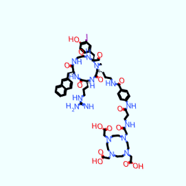 CN1[C@H](CCCNC(=O)c2ccc(NC(=O)CCNC(=O)CN3CCN(CC(=O)O)CCN(CC(=O)O)CCN(CC(=O)O)CC3)cc2)C(=O)N[C@@H](CCCNC(=N)N)C(=O)N[C@@H](Cc2ccc3ccccc3c2)C(=O)NCC(=O)N[C@@]1(C=O)Cc1ccc(O)c(I)c1